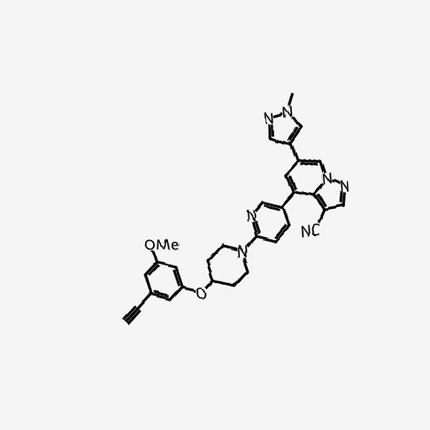 C#Cc1cc(OC)cc(OC2CCN(c3ccc(-c4cc(-c5cnn(C)c5)cn5ncc(C#N)c45)cn3)CC2)c1